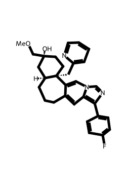 COC[C@@]1(O)CC[C@@]2(Cc3ccccn3)c3cn4cnc(-c5ccc(F)cc5)c4cc3CCC[C@H]2C1